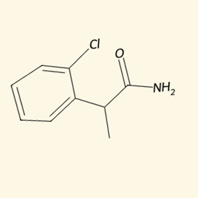 CC(C(N)=O)c1ccccc1Cl